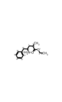 CCOC(=O)C(C)CC(N)Cc1ccccc1